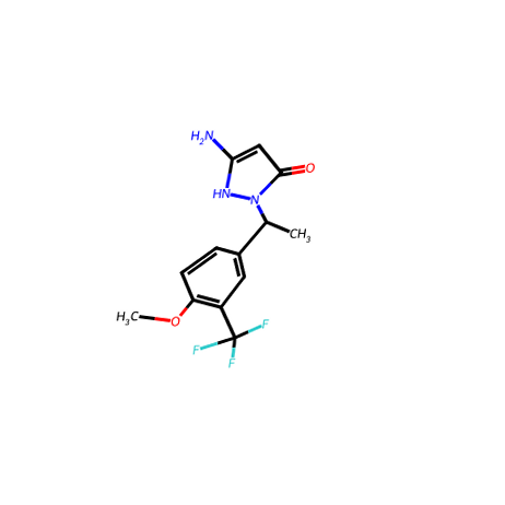 COc1ccc(C(C)n2[nH]c(N)cc2=O)cc1C(F)(F)F